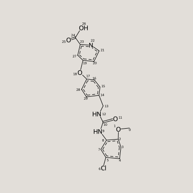 COc1ccc(Cl)cc1NC(=O)NCc1ccc(Oc2ccnc(C(=O)O)c2)cc1